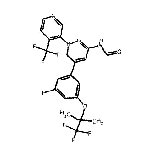 CC(C)(Oc1cc(F)cc(C2=CC(NC=O)=NN(c3cnccc3C(F)(F)F)C2)c1)C(F)(F)F